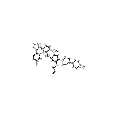 C=CC(=O)Nc1cc(Nc2cc(N3OCCC3c3ccc(Cl)cc3)ncn2)c(OC)cc1N1CCC(N2CCN(C(C)=O)CC2)CC1